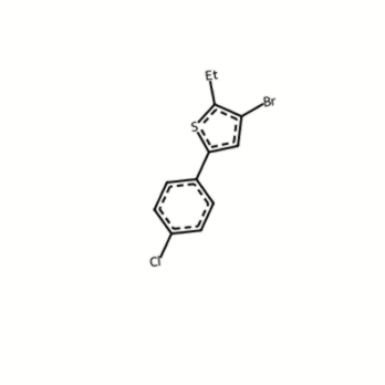 CCc1sc(-c2ccc(Cl)cc2)cc1Br